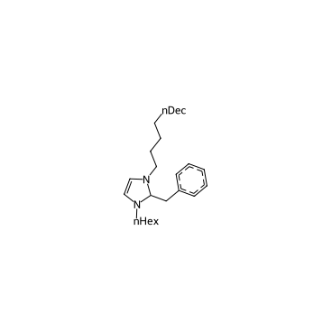 CCCCCCCCCCCCCCN1C=CN(CCCCCC)C1Cc1ccccc1